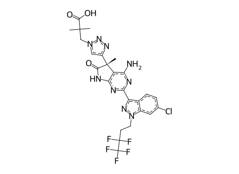 CC(C)(Cn1cc([C@@]2(C)C(=O)Nc3nc(-c4nn(CCC(F)(F)C(F)(F)F)c5cc(Cl)ccc45)nc(N)c32)nn1)C(=O)O